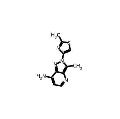 Cc1nc(-n2nc3c(N)ccnc3c2C)cs1